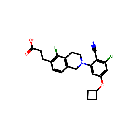 N#Cc1c(Cl)cc(OC2CCC2)cc1N1CCc2c(ccc(CCC(=O)O)c2F)C1